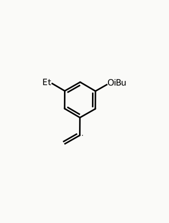 C=[C]c1cc(CC)cc(OCC(C)C)c1